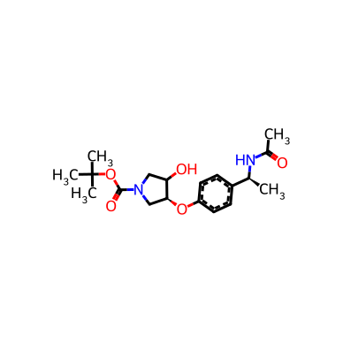 CC(=O)N[C@@H](C)c1ccc(O[C@H]2CN(C(=O)OC(C)(C)C)CC2O)cc1